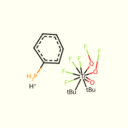 C[C](C)(C)[Ti](=[O])([F])([F])([F])([F])([O]F)([O]F)[C](C)(C)C.Pc1ccccc1.[H+]